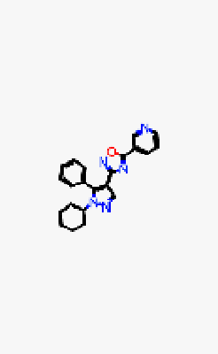 c1ccc(-c2c(-c3noc(-c4cccnc4)n3)cnn2C2CCCCC2)cc1